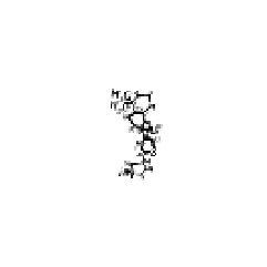 Br.CC1(C)CCCc2cc(-c3csc(C4CCNC4)n3)ccc21